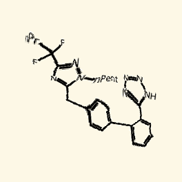 CCCCCn1nc(C(F)(F)CCC)nc1Cc1ccc(-c2ccccc2-c2nnn[nH]2)cc1